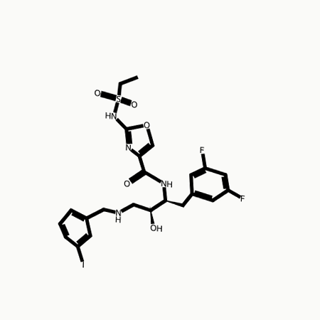 CCS(=O)(=O)Nc1nc(C(=O)N[C@@H](Cc2cc(F)cc(F)c2)[C@@H](O)CNCc2cccc(I)c2)co1